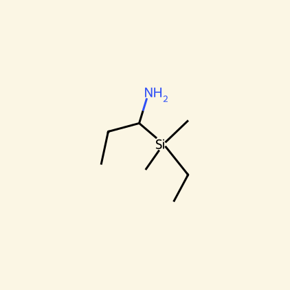 CCC(N)[Si](C)(C)CC